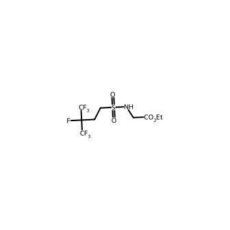 CCOC(=O)CNS(=O)(=O)CCC(F)(C(F)(F)F)C(F)(F)F